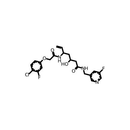 C=CC(CC(O)CC(=O)NCc1cncc(F)c1)NC(=O)COc1ccc(Cl)c(F)c1